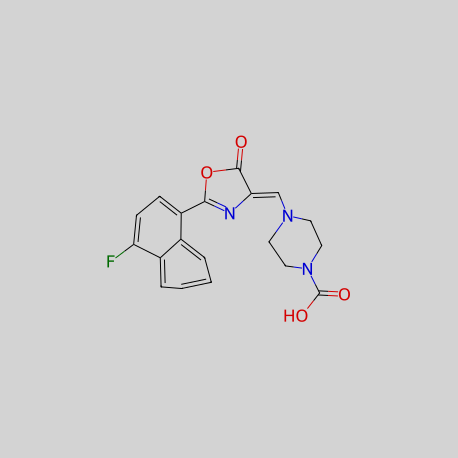 O=C1OC(c2ccc(F)c3ccccc23)=NC1=CN1CCN(C(=O)O)CC1